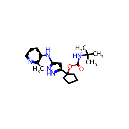 Cc1ncccc1Nc1cc(C2(OC(=O)NC(C)(C)C)CCCC2)[nH]n1